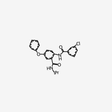 CC(C)NC(=O)c1cc(Oc2ccccc2)ccc1NC(=O)c1cccc(Cl)c1